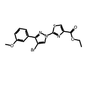 CCOC(=O)c1csc(-n2cc(Br)c(-c3cccc(OC)c3)n2)n1